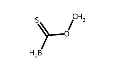 BC(=S)OC